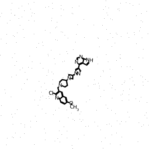 COc1ccc2nc(Cl)c(CN3CCC(N4C[C](n5cc(-c6ncnc7[nH]ccc67)cn5)C4)CC3)cc2c1